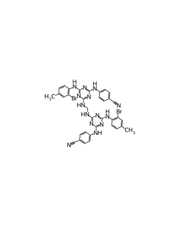 Cc1ccc(Nc2nc(NCNc3nc(Nc4ccc(C#N)cc4)nc(Nc4ccc(C)cc4Br)n3)nc(Nc3ccc(C#N)cc3)n2)c(Br)c1